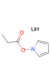 CCC(=O)On1cccc1.[LiH]